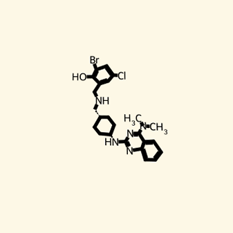 CN(C)c1nc(N[C@H]2CC[C@@H](CNCc3cc(Cl)cc(Br)c3O)CC2)nc2ccccc12